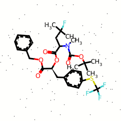 CN(C(=O)OC(C)(C)C)C(CC(C)(C)F)C(=O)O[C@@H](Cc1ccc(SC(F)(F)F)cc1)C(=O)OCc1ccccc1